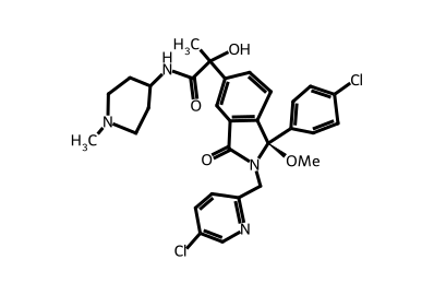 CO[C@]1(c2ccc(Cl)cc2)c2ccc(C(C)(O)C(=O)NC3CCN(C)CC3)cc2C(=O)N1Cc1ccc(Cl)cn1